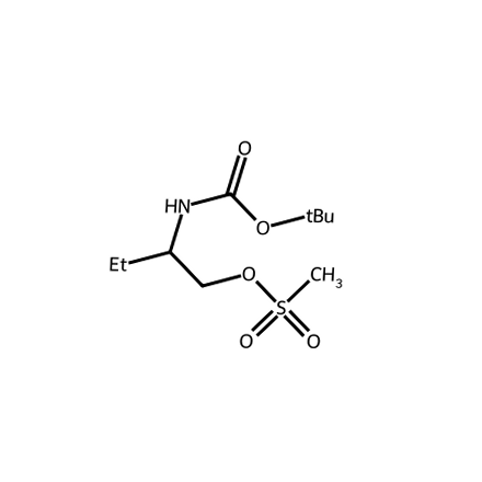 CCC(COS(C)(=O)=O)NC(=O)OC(C)(C)C